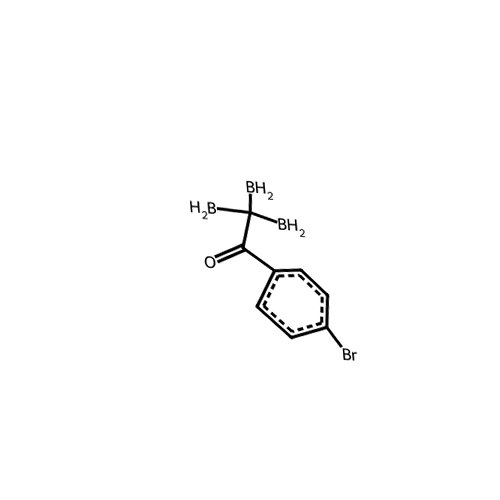 BC(B)(B)C(=O)c1ccc(Br)cc1